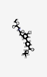 CCOC(=O)/C=C/C1Cc2cc(-c3ccc(C(=O)N4CC(C)(C)C4)cc3)cc(Cl)c2O1